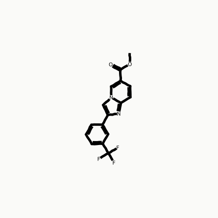 COC(=O)c1ccc2nc(-c3cccc(C(F)(F)F)c3)cn2c1